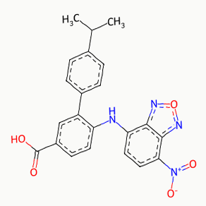 CC(C)c1ccc(-c2cc(C(=O)O)ccc2Nc2ccc([N+](=O)[O-])c3nonc23)cc1